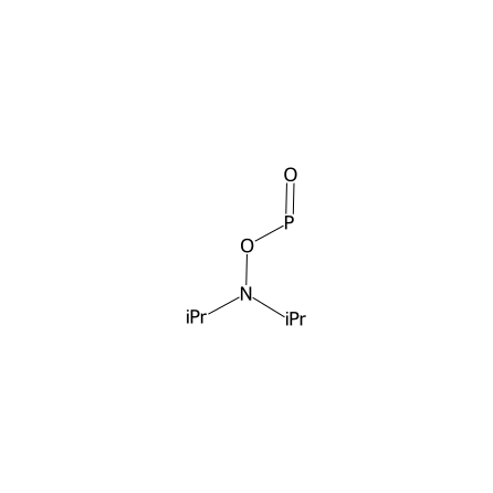 CC(C)N(OP=O)C(C)C